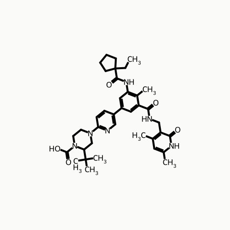 CCC1(C(=O)Nc2cc(-c3ccc(N4CCN(C(=O)O)C(C(C)(C)C)C4)nc3)cc(C(=O)NCc3c(C)cc(C)[nH]c3=O)c2C)CCCC1